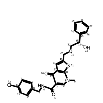 Cn1cc(C(=O)NCc2ccc(Cl)cc2)c(=O)c2cc(COC[C@@H](O)c3ccccc3)sc21